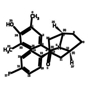 Cc1cc(C(=O)N2[C@@H]3CC[C@H]2C[C@@H](c2ccc(F)cc2)C3)cc(C)c1O